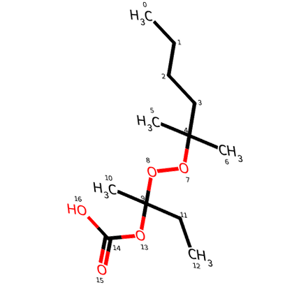 CCCCC(C)(C)OOC(C)(CC)OC(=O)O